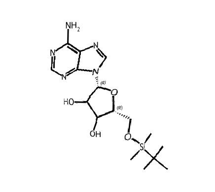 CC(C)(C)[Si](C)(C)OC[C@H]1O[C@@H](n2cnc3c(N)ncnc32)C(O)C1O